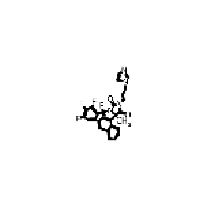 CC1(c2cccc3ccccc23)C(=O)N(CCCn2ccnc2)C(=O)N1C(F)(F)c1ccc(F)c(F)c1F